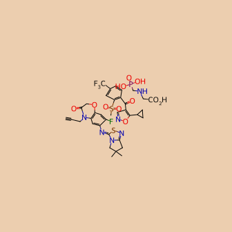 C#CCN1C(=O)COc2cc(F)c(/N=c3\snc4n3CC(C)(C)C4)cc21.CS(=O)(=O)c1cc(C(F)(F)F)ccc1C(=O)c1cnoc1C1CC1.O=C(O)CNCP(=O)(O)O